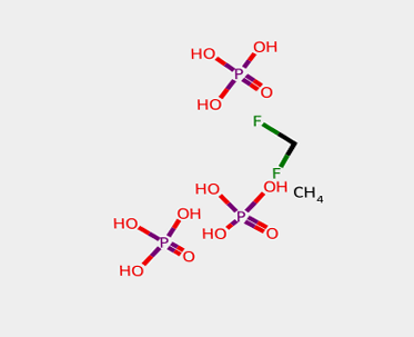 C.FCF.O=P(O)(O)O.O=P(O)(O)O.O=P(O)(O)O